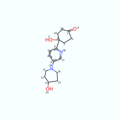 O=C1CCC(O)(c2ccc(N3CCC(O)CC3)cn2)CC1